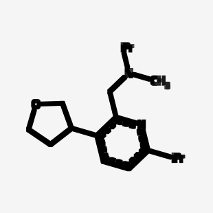 CC(C)c1ccc(C2CCOC2)c(CN(C)C(C)C)n1